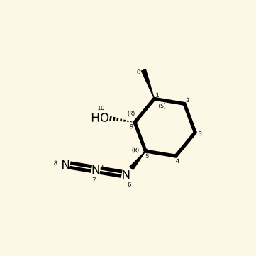 C[C@H]1CCC[C@@H](N=[N+]=[N-])[C@@H]1O